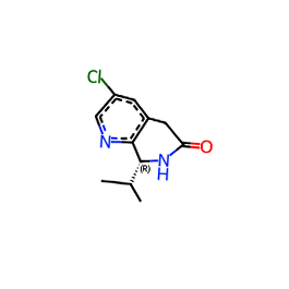 CC(C)[C@H]1NC(=O)Cc2cc(Cl)cnc21